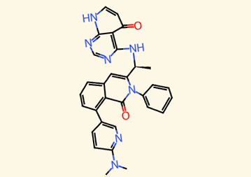 C[C@H](Nc1ncnc2[nH]ccc(=O)c12)c1cc2cccc(-c3ccc(N(C)C)nc3)c2c(=O)n1-c1ccccc1